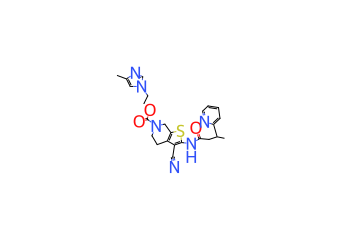 Cc1cn(CCOC(=O)N2CCc3c(sc(NC(=O)CC(C)c4ccccn4)c3C#N)C2)cn1